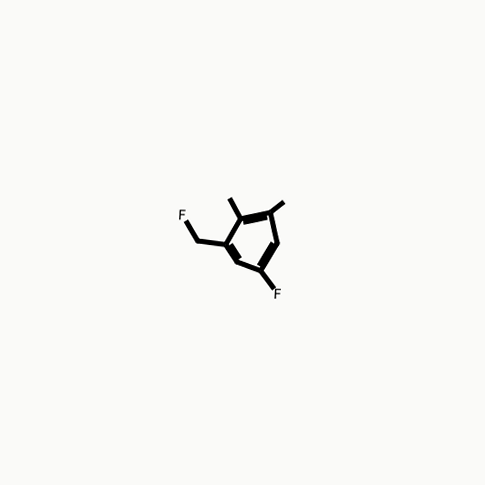 Cc1cc(F)cc(CF)c1C